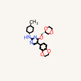 C[C@H]1CC[C@H](Nc2ncc(-c3ccc4c(c3)OCCO4)c(OC[C@H]3COCCO3)n2)CC1